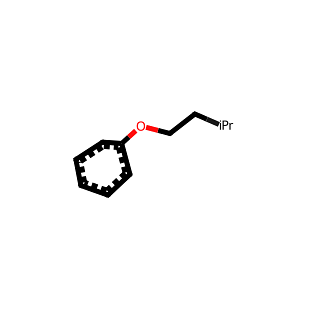 [CH2]C(C)CCOc1ccccc1